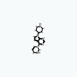 C1=CN(c2ncnc3c2ccn3C2CCNCC2)CNC1